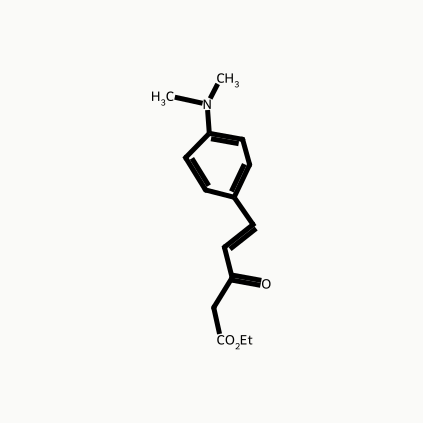 CCOC(=O)CC(=O)C=Cc1ccc(N(C)C)cc1